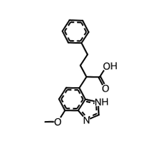 COc1ccc(C(CCc2ccccc2)C(=O)O)c2[nH]cnc12